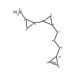 NC1CC1C1CC1CCCC1C=C1